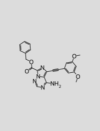 COc1cc(C#Cc2nc(C(=O)OCc3ccccc3)n3ncnc(N)c23)cc(OC)c1